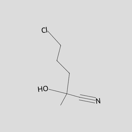 CC(O)(C#N)CCCCl